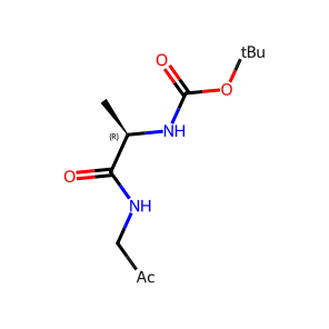 CC(=O)CNC(=O)[C@@H](C)NC(=O)OC(C)(C)C